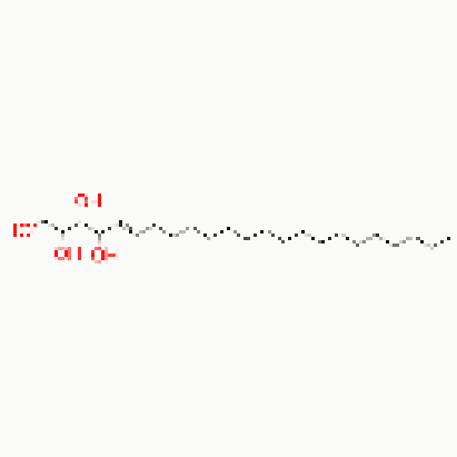 CCCCCCCCCCCCCCCCCC=CC(O)C(O)C(O)CO